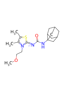 COCCn1c(C)c(C)s/c1=N\C(=O)NC12CC3CC(CC1C3)C2